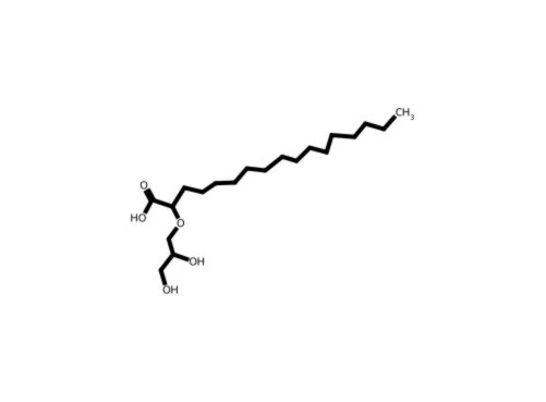 CCCCCCCCCCCCCCCC(OCC(O)CO)C(=O)O